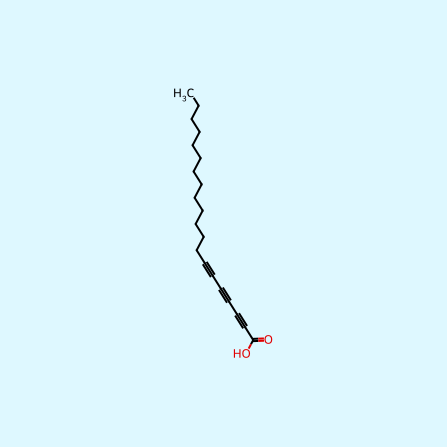 CCCCCCCCCCCCCC#CC#CC#CC(=O)O